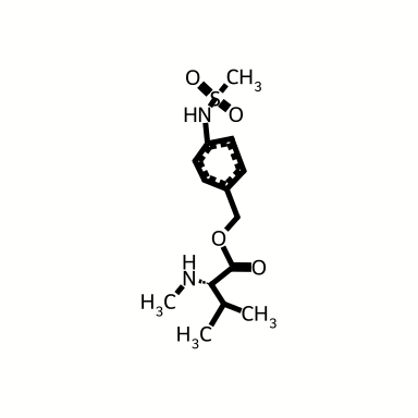 CN[C@H](C(=O)OCc1ccc(NS(C)(=O)=O)cc1)C(C)C